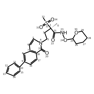 C[C@@](CCn1ccc2cc(-c3ccccc3)ccc2c1=O)(C(=O)NOC1CCCCO1)S(C)(=O)=O